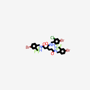 O=C(CCC(CC(=O)NCc1ccc(Br)cc1C(F)(F)F)C(=O)NCc1ccc(Br)cc1Cl)NCc1ccc(Br)cc1C(F)(F)F